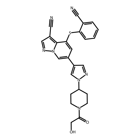 N#Cc1ccccc1Sc1cc(-c2cnn(C3CCN(C(=O)CO)CC3)c2)cn2ncc(C#N)c12